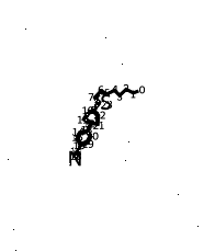 CCCCCc1ccc(-c2ccc(-c3ccc(C#N)cc3)cc2)s1